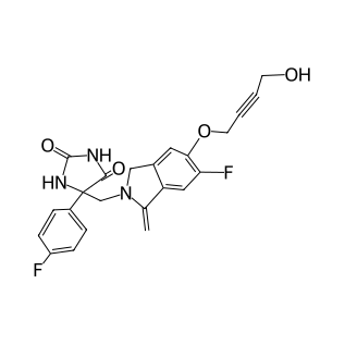 C=C1c2cc(F)c(OCC#CCO)cc2CN1CC1(c2ccc(F)cc2)NC(=O)NC1=O